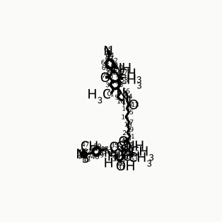 CCc1cc2c(cc1N1CCN(C(=O)CCCCCCCCC(=O)NC(C(=O)N3C[C@H](O)C[C@H]3C(=O)NCc3ccc(-c4scnc4C)cc3)C(C)(C)C)CC1)C(C)(C)c1[nH]c3cc(C#N)ccc3c1C2=O